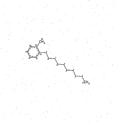 CCCCCCCCCCc1ccccc1C